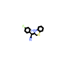 N#CC(=C1CSc2ccccc2N1)c1ccc(F)cc1